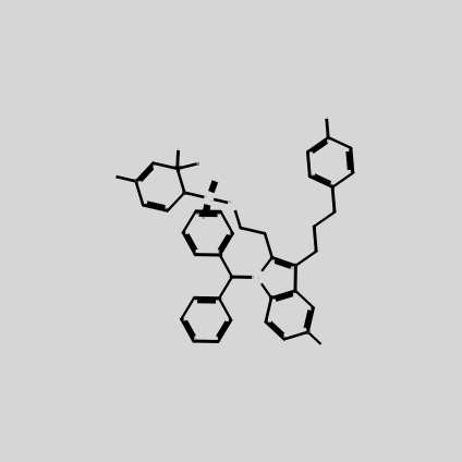 O=C(O)c1ccc(CCCc2c(CCNS(=O)(=O)C3C=CC(F)=CC3(F)Cl)n(C(c3ccccc3)c3ccccc3)c3ccc(Cl)cc23)cc1